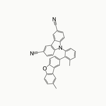 Cc1ccc2oc3ccc(-c4c(C)cccc4-n4c5ccc(C#N)cc5c5cc(C#N)ccc54)cc3c2c1